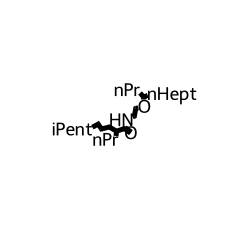 CCCCCCCC(CCC)OCCNC(=O)C(CCC)CCCC(C)CCC